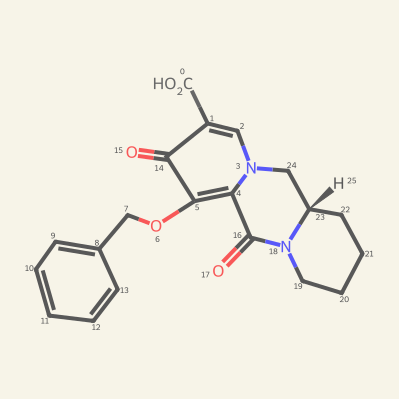 O=C(O)c1cn2c(c(OCc3ccccc3)c1=O)C(=O)N1CCCC[C@H]1C2